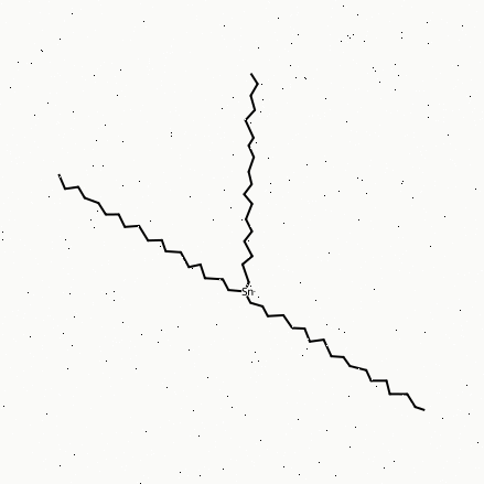 CCCCCCCCCCCCCCCCC[CH2][Sn]([CH2]CCCCCCCCCCCCCCCCC)[CH2]CCCCCCCCCCCCCCCCC